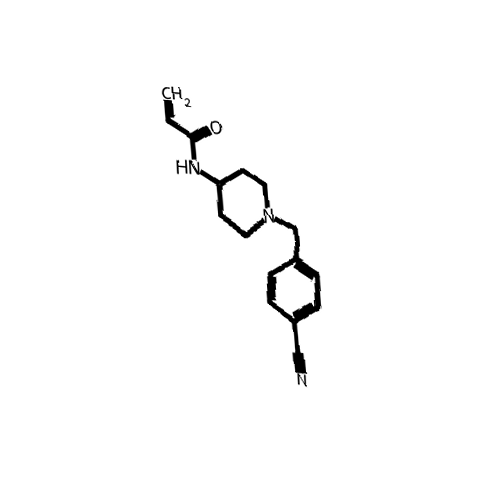 C=CC(=O)NC1CCN(Cc2ccc(C#N)cc2)CC1